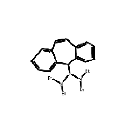 CCN(CC)P(C1c2ccccc2C=Cc2ccccc21)N(CC)CC